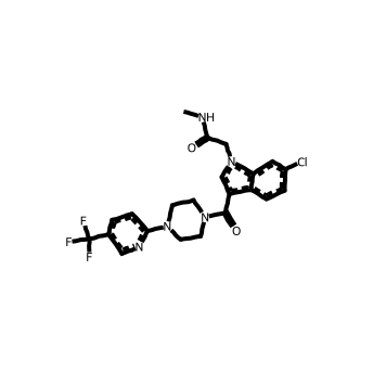 CNC(=O)Cn1cc(C(=O)N2CCN(c3ccc(C(F)(F)F)cn3)CC2)c2ccc(Cl)cc21